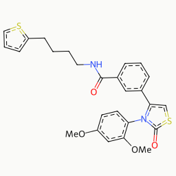 COc1ccc(-n2c(-c3cccc(C(=O)NCCCCc4cccs4)c3)csc2=O)c(OC)c1